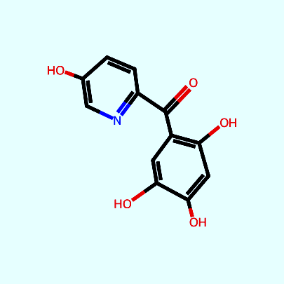 O=C(c1ccc(O)cn1)c1cc(O)c(O)cc1O